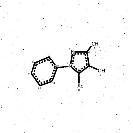 CC(=O)c1c(O)c(C)nn1-c1ccccc1